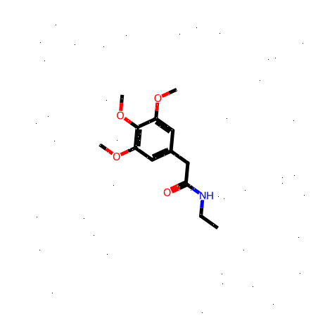 CCNC(=O)Cc1cc(OC)c(OC)c(OC)c1